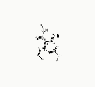 C\C=C/C(/C=C(\C)OC)=C(/C=N)C(=O)NC